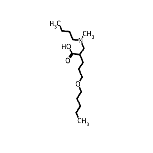 CCCCCOCCCC(CN(C)CCCC)C(=O)O